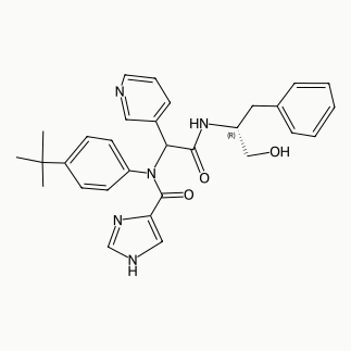 CC(C)(C)c1ccc(N(C(=O)c2c[nH]cn2)C(C(=O)N[C@@H](CO)Cc2ccccc2)c2cccnc2)cc1